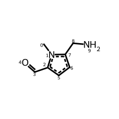 Cn1c(C=O)ccc1CN